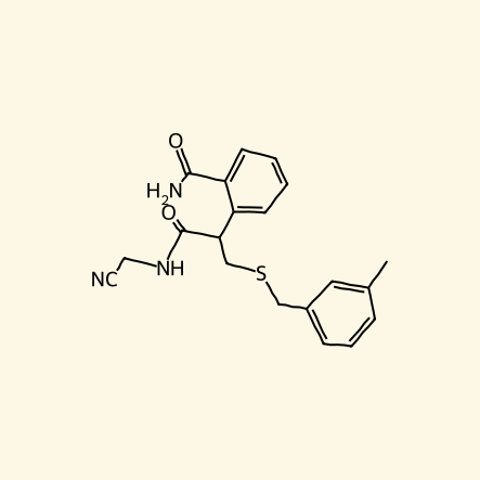 Cc1cccc(CSCC(C(=O)NCC#N)c2ccccc2C(N)=O)c1